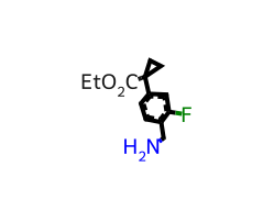 CCOC(=O)C1(c2ccc(CN)c(F)c2)CC1